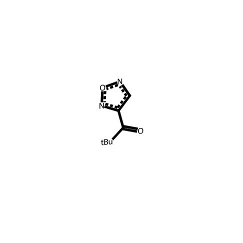 CC(C)(C)C(=O)c1cnon1